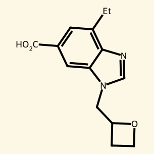 CCc1cc(C(=O)O)cc2c1ncn2CC1CCO1